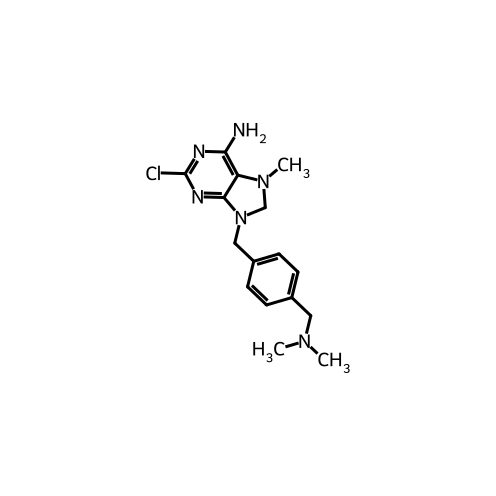 CN(C)Cc1ccc(CN2CN(C)c3c(N)nc(Cl)nc32)cc1